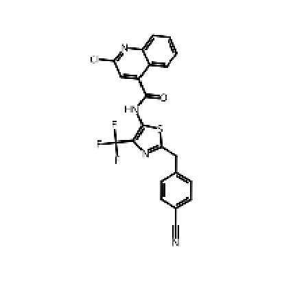 N#Cc1ccc(Cc2nc(C(F)(F)F)c(NC(=O)c3cc(Cl)nc4ccccc34)s2)cc1